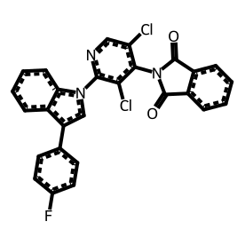 O=C1c2ccccc2C(=O)N1c1c(Cl)cnc(-n2cc(-c3ccc(F)cc3)c3ccccc32)c1Cl